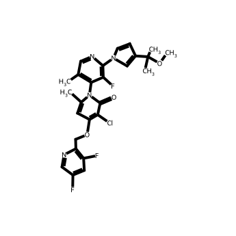 COC(C)(C)c1ccn(-c2ncc(C)c(-n3c(C)cc(OCc4ncc(F)cc4F)c(Cl)c3=O)c2F)c1